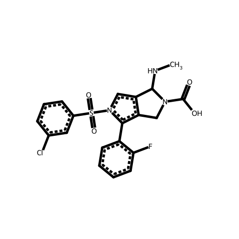 CNC1c2cn(S(=O)(=O)c3cccc(Cl)c3)c(-c3ccccc3F)c2CN1C(=O)O